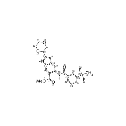 COC(=O)c1cc2nc(C3COCCO3)cn2cc1NC(=O)c1cccc(C(C)(F)F)n1